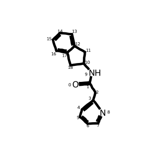 O=C(Cc1ccccn1)NC1Cc2ccccc2C1